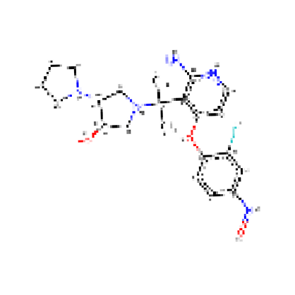 CC(C)(c1c(Oc2ccc(N=O)cc2F)ccnc1N)N1C[C@@H](O)[C@H](N2CCCC2)C1